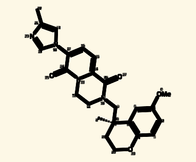 COc1ccc2c(c1)[C@](C)(CN1CCn3c(ccc(-n4cnc(C)c4)c3=O)C1=O)CCO2